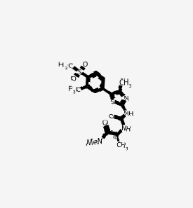 CNC(=O)[C@H](C)NC(=O)Nc1nc(C)c(-c2ccc(S(C)(=O)=O)c(C(F)(F)F)c2)s1